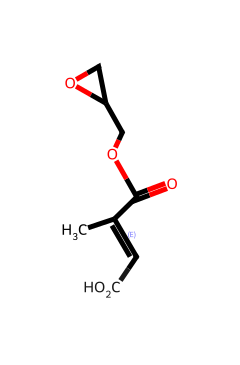 C/C(=C\C(=O)O)C(=O)OCC1CO1